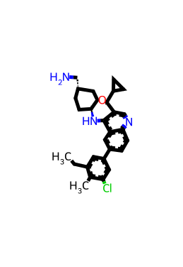 CCc1cc(-c2ccc3ncc(C(=O)C4CC4)c(N[C@H]4CC[C@H](CN)CC4)c3c2)cc(Cl)c1C